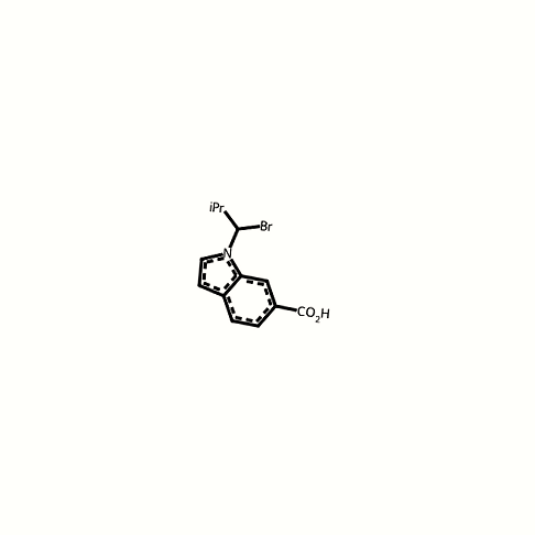 CC(C)C(Br)n1ccc2ccc(C(=O)O)cc21